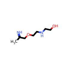 CC(=N)COCCNCCO